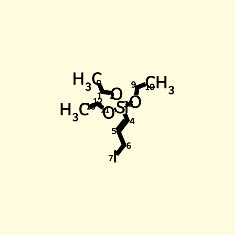 CCO[Si](/C=C/CI)(OCC)OCC